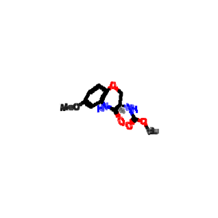 COc1ccc2c(c1)NC(=O)[C@@H](NC(=O)OC(C)(C)C)CO2